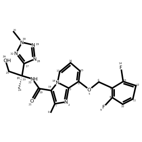 Cc1nc2c(OCc3c(F)cccc3F)cccn2c1C(=O)N[C@@](C)(CO)c1nnn(C)n1